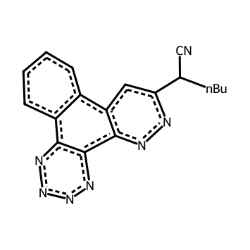 CCCCC(C#N)c1cc2c3ccccc3c3nnnnc3c2nn1